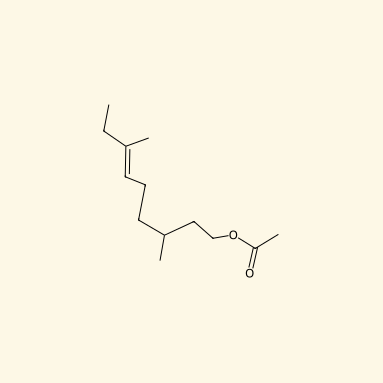 CC/C(C)=C/CCC(C)CCOC(C)=O